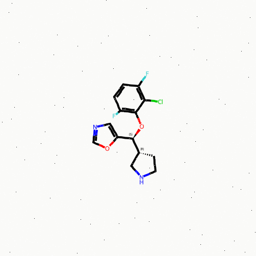 Fc1ccc(F)c(O[C@H](c2cnco2)[C@@H]2CCNC2)c1Cl